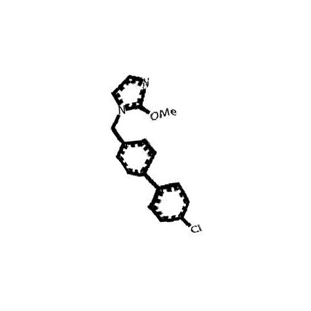 COc1nccn1Cc1ccc(-c2ccc(Cl)cc2)cc1